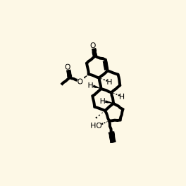 C#C[C@]1(O)CC[C@H]2[C@@H]3CCC4=CC(=O)C[C@@H](OC(C)=O)[C@@H]4[C@H]3CC[C@@]21C